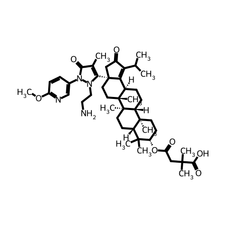 COc1ccc(-n2c(=O)c(C)c([C@@]34CC[C@]5(C)[C@H](CC[C@@H]6[C@@]7(C)CC[C@H](OC(=O)CC(C)(C)C(=O)O)C(C)(C)[C@@H]7CC[C@]65C)C3=C(C(C)C)C(=O)C4)n2CCN)cn1